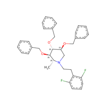 C[C@@H]1[C@@H](OCc2ccccc2)[C@H](OCc2ccccc2)[C@@H](OCc2ccccc2)CN1CCc1c(F)cccc1F